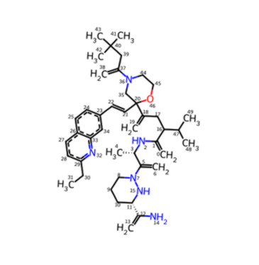 C=C(N[C@@H](C)C(=C)N1CCC[C@@H](C(=C)N)N1)C(CC(=C)C1(/C=C/c2ccc3ccc(CC)nc3c2)CN(C(=C)CC(C)(C)C)CCO1)C(C)C